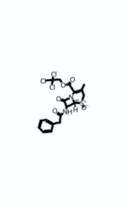 CC1=C(C(=O)OCC(Cl)(Cl)Cl)N2C(=O)C(NC(=O)Cc3ccccc3)[C@H]2[S+]([O-])C1